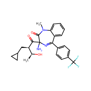 C[C@H](O)[C@@H](CC1CC1)C(=O)C1(N)N=C(c2ccc(C(F)(F)F)cc2)c2ccccc2N(C)C1=O